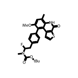 COc1cc(C)c2[nH]c(=O)c3sccc3c2c1-c1ccc(CC(F)N(C)C(=O)OC(C)(C)C)cc1